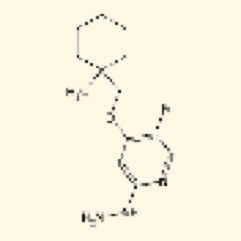 CC1(COc2cc(NN)ncc2Br)CCCCC1